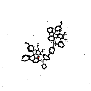 C=Cc1ccc(C2(c3c(F)c(F)c(F)c(F)c3F)c3ccccc3-c3ccc(N(c4ccccc4)c4ccc(-c5ccc(N(c6ccccc6)c6ccc7c(c6)C(c6ccc(C=C)cc6)(c6c(F)c(F)c(F)c(F)c6F)c6ccccc6-7)cc5)cc4)cc32)cc1